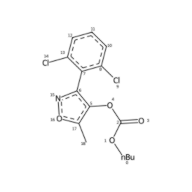 CCCCOC(=O)Oc1c(-c2c(Cl)cccc2Cl)noc1C